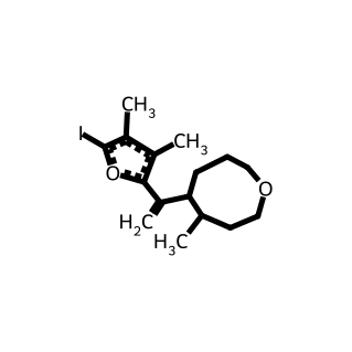 C=C(c1oc(I)c(C)c1C)C1CCCOCCC1C